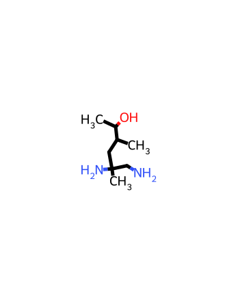 CC(O)C(C)CC(C)(N)CN